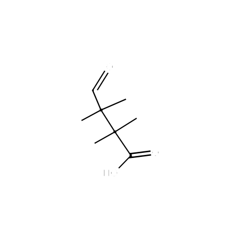 CC(C)(C=O)C(C)(C)C(=O)O